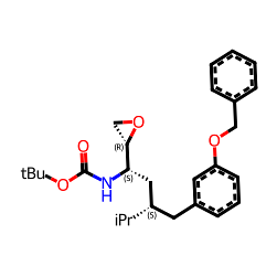 CC(C)[C@@H](Cc1cccc(OCc2ccccc2)c1)C[C@H](NC(=O)OC(C)(C)C)[C@@H]1CO1